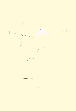 CC(C)OC(=S)c1sc(Cl)nc1C(F)(F)F